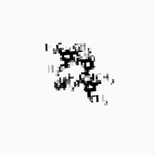 CCc1cc(CC)c(N=C(C)c2cccc(C(C)=Nc3c(CC)cc(CC)cc3CC)n2)c(CC)c1.[Cl-].[Cl-].[Cl-].[Co+3]